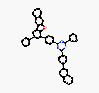 c1ccc(C2=NC(c3ccc(-c4cc(-c5ccccc5)cc5c4oc4cc6ccccc6cc45)cc3)NC(c3ccc(-c4ccc5ccccc5c4)cc3)N2)cc1